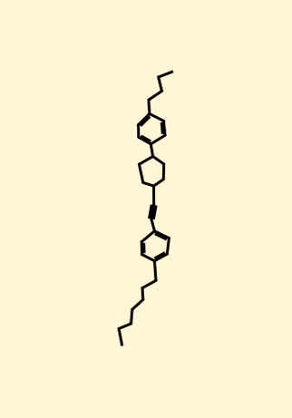 CCCCCCCc1ccc(C#CC2CCC(c3ccc(CCCC)cc3)CC2)cc1